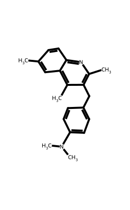 Cc1ccc2nc(C)c(Cc3ccc(N(C)C)cc3)c(C)c2c1